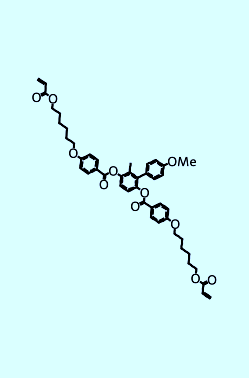 C=CC(=O)OCCCCCCOc1ccc(C(=O)Oc2ccc(OC(=O)c3ccc(OCCCCCCOC(=O)C=C)cc3)c(-c3ccc(OC)cc3)c2C)cc1